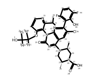 [2H]C([2H])(O)C([2H])([2H])Oc1ccnc(C(C)C)c1-n1c(=O)nc(N2C[C@@H](C)N(C(=O)O)C[C@@H]2C)c2cc(Cl)c(-c3c(F)ccc(F)c3O)nc21